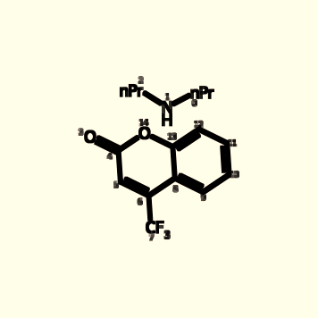 CCCNCCC.O=c1cc(C(F)(F)F)c2ccccc2o1